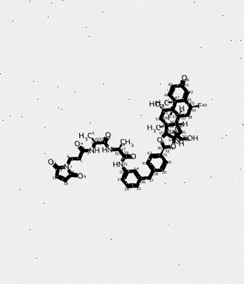 C[C@H](NC(=O)CCN1C(=O)C=CC1=O)C(=O)N[C@@H](C)C(=O)Nc1cccc(Cc2ccc([C@@H]3O[C@@H]4C[C@H]5[C@@H]6C[C@H](F)C7=CC(=O)C=C[C@]7(C)[C@@]6(F)[C@@H](O)C[C@]5(C)[C@]4(C(=O)CO)O3)cc2)c1